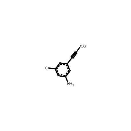 CC(C)(C)C#Cc1cc(N)cc(Cl)c1